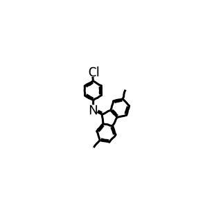 Cc1ccc2c(c1)C(=Nc1ccc(Cl)cc1)c1cc(C)ccc1-2